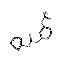 NC(=O)Oc1cccc(OC(=O)Nc2ccccc2)c1